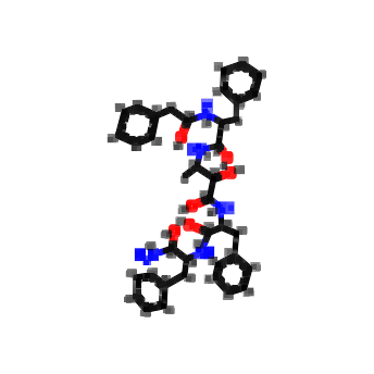 CC(NC(=O)C(Cc1ccccc1)NC(=O)Cc1ccccc1)C(=O)C(=O)NC(Cc1ccccc1)C(=O)NC(Cc1ccccc1)C(N)=O